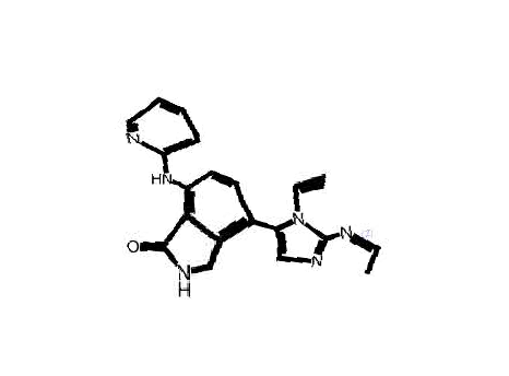 C=Cn1c(-c2ccc(Nc3ccccn3)c3c2CNC3=O)cnc1/N=C\C